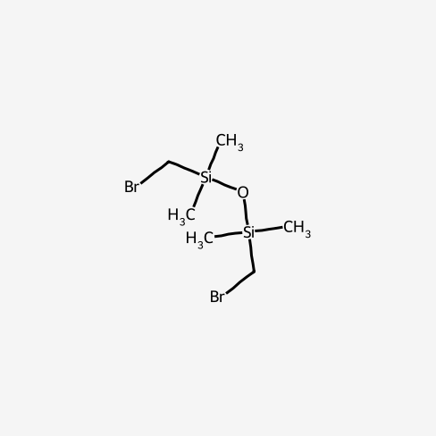 C[Si](C)(CBr)O[Si](C)(C)CBr